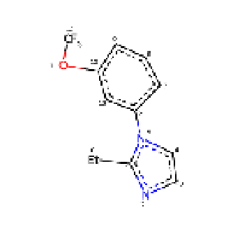 CCc1n[c]cn1-c1cccc(OC(F)(F)F)c1